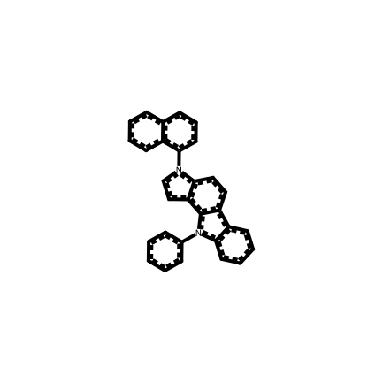 c1ccc(-n2c3ccccc3c3ccc4c(ccn4-c4cccc5ccccc45)c32)cc1